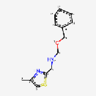 Cc1csc(CNCOCc2ccccc2)n1